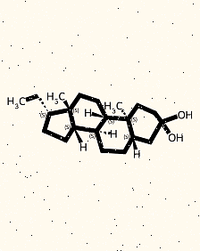 CC[C@H]1CC[C@H]2[C@@H]3CC[C@H]4CC(O)(O)CC[C@]4(C)[C@H]3CC[C@@]12C